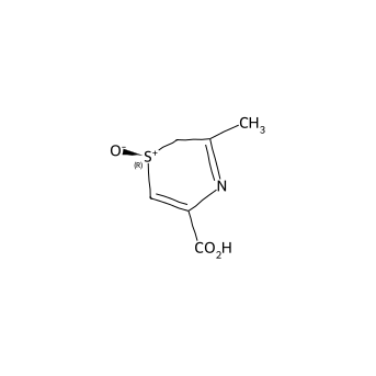 CC1=NC(C(=O)O)=C[S@@+]([O-])C1